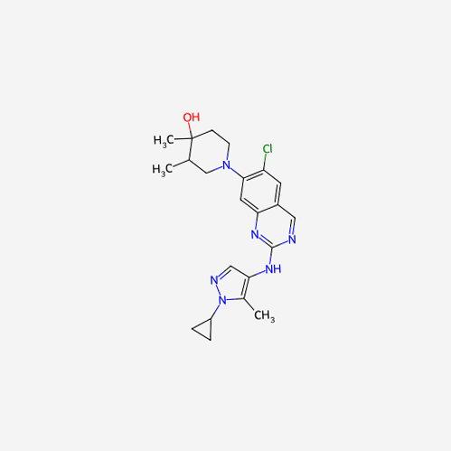 Cc1c(Nc2ncc3cc(Cl)c(N4CCC(C)(O)C(C)C4)cc3n2)cnn1C1CC1